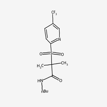 CCCCNC(=O)C(C)(C)S(=O)(=O)c1ccc(C(F)(F)F)cn1